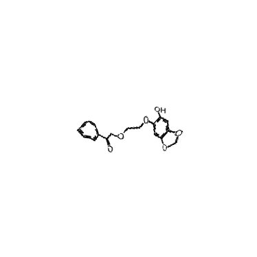 O=C(COCCOc1cc2c(cc1O)OCO2)c1ccccc1